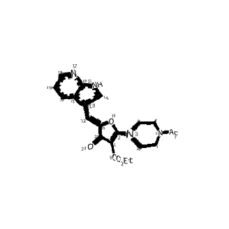 CCOC(=O)C1=C(N2CCN(C(C)=O)CC2)OC(=Cc2c[nH]c3ncccc23)C1=O